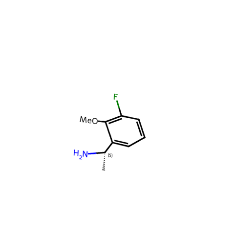 COc1c(F)cccc1[C@H](C)N